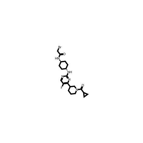 O=C(CBr)N[C@H]1CC[C@H](Nc2ncc(F)c(C3CCCN(C(=O)C4CC4)C3)n2)CC1